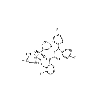 C[C@@H]1CN[C@@](CCc2c(F)cccc2NC(=O)CC(c2ccc(F)cc2)c2ccc(F)cc2)(S(=O)(=O)c2ccccc2)CN1